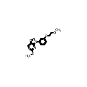 COCCOc1cccc(-n2nnc3cnc(SC)nc32)c1